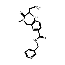 CN1Cc2cc(C(=O)NCc3cccnc3)ccc2NC(CC(=O)O)C1=O